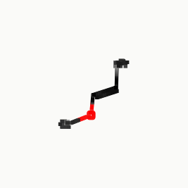 C[CH]O/C=C/CCC